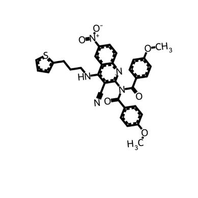 COc1ccc(C(=O)N(C(=O)c2ccc(OC)cc2)c2nc3ccc([N+](=O)[O-])cc3c(NCCCc3cccs3)c2C#N)cc1